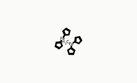 C1=CC[C]([Fe][C]2=CC=CC2)=C1.[CH3][Fe]([C]1=CC=CC1)[C]1=CC=CC1